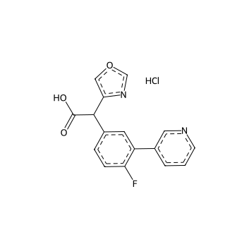 Cl.O=C(O)C(c1ccc(F)c(-c2cccnc2)c1)c1cocn1